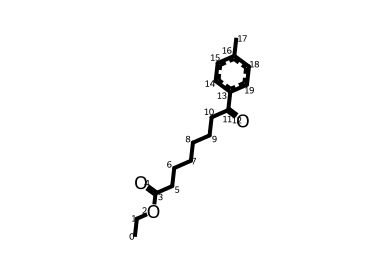 CCOC(=O)CCCCCCC(=O)c1ccc(C)cc1